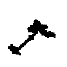 C/C(=C\C(=O)N[C@H]1CCc2cccc3c2N(C1=O)[C@H](C(=O)N[C@@H](CCC(N)=O)[C@@H](C)OCc1ccc(CCCNC(=O)COCCOCCOCCOCCCc2ccc4c(c2)n(C)c(=O)n4C2CCC(=O)NC2=O)cc1)C3)c1ccc(C(F)(F)P(=O)(OCOC(=O)C(C)(C)C)OCOC(=O)C(C)(C)C)cc1